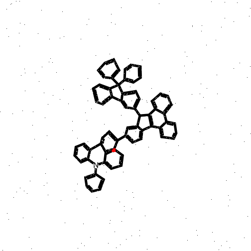 c1ccc(N(c2ccccc2)c2ccccc2-c2ccc(-c3ccc4c(c3)C(c3ccc5c(c3)-c3ccccc3C5(c3ccccc3)c3ccccc3)c3c-4c4ccccc4c4ccccc34)cc2)cc1